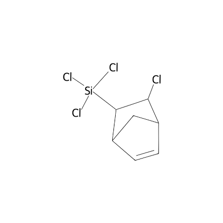 ClC1C2C=CC(C2)C1[Si](Cl)(Cl)Cl